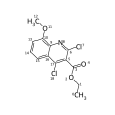 CCOC(=O)c1c(Cl)nc2c(OC)cccc2c1Cl